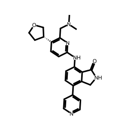 CN(C)Cc1nc(Nc2ccc(-c3ccncc3)c3c2C(=O)NC3)ccc1[C@@H]1CCOC1